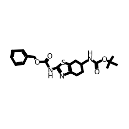 CC(C)(C)OC(=O)NC1CCc2nc(NC(=O)OCc3ccccc3)sc2C1